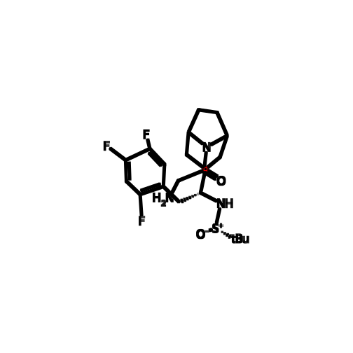 CC(C)(C)[S@+]([O-])N[C@H](Cc1cc(F)c(F)cc1F)C1CC2CCC(C1)N2C(=O)CN